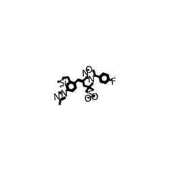 Cc1cn(-c2ccc(/C=C3\CC4(CN5C3=NOCC5c3ccc(F)cc3)CS(=O)(=O)C4)c3c2[Si](C)(C)CC3)cn1